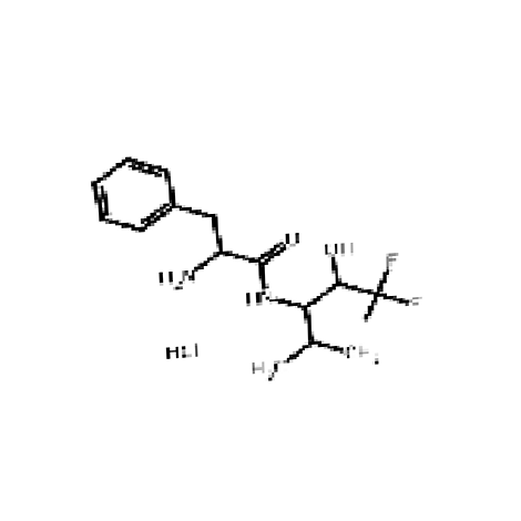 CC(C)C(NC(=O)C(N)Cc1ccccc1)C(O)C(F)(F)F.Cl